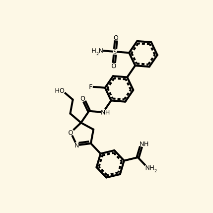 N=C(N)c1cccc(C2=NOC(CCO)(C(=O)Nc3ccc(-c4ccccc4S(N)(=O)=O)cc3F)C2)c1